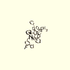 CN1CCn2c(c(OCc3ccccc3)c3c(=O)n(Cc4ccc(F)c(Cl)c4)nc(-n4ccccc4=O)c32)C1=O